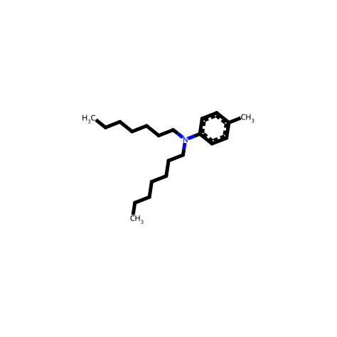 CCCCCCCN(CCCCCCC)c1ccc(C)cc1